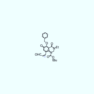 CCN1CN(C(=O)OC(C)(C)C)n2c(/C=C\C=O)cc(=O)c(OCc3ccccc3)c2C1=O